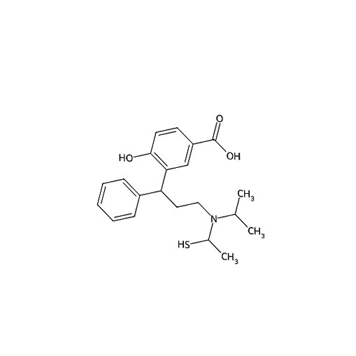 CC(C)N(CCC(c1ccccc1)c1cc(C(=O)O)ccc1O)C(C)S